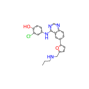 CCCNCc1ccc(-c2ccc3ncnc(Nc4ccc(O)c(Cl)c4)c3c2)o1